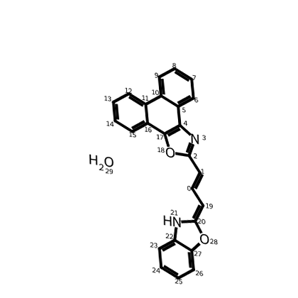 C(=Cc1nc2c3ccccc3c3ccccc3c2o1)C=C1Nc2ccccc2O1.O